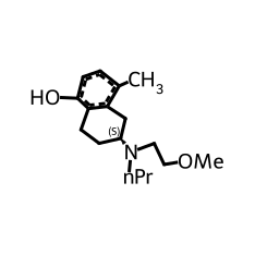 CCCN(CCOC)[C@H]1CCc2c(O)ccc(C)c2C1